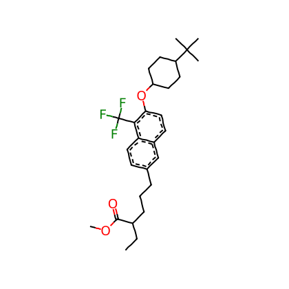 CCC(CCCc1ccc2c(C(F)(F)F)c(OC3CCC(C(C)(C)C)CC3)ccc2c1)C(=O)OC